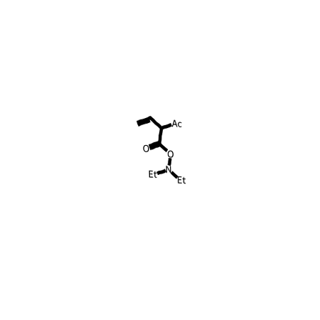 C=CC(C(C)=O)C(=O)ON(CC)CC